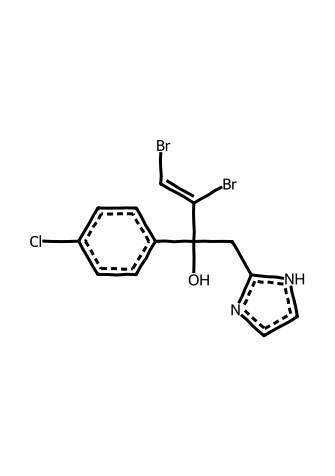 OC(Cc1ncc[nH]1)(C(Br)=CBr)c1ccc(Cl)cc1